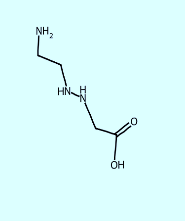 NCCNNCC(=O)O